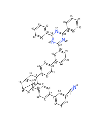 N#Cc1cccc(-c2ccc(C34CC5CC(C3)CC(c3ccc(-c6cccc(-c7nc(-c8ccccc8)nc(-c8ccccc8)n7)c6)cc3)(C5)C4)cc2)c1